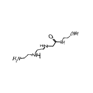 COCCNC(=O)CNCCNCCN